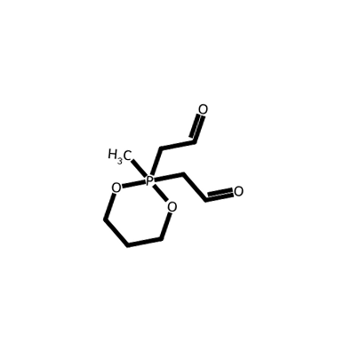 CP1(CC=O)(CC=O)OCCCO1